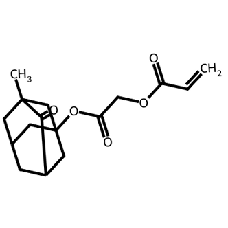 C=CC(=O)OCC(=O)OC12CC3CC(C1)C(=O)C(C)(C3)C2